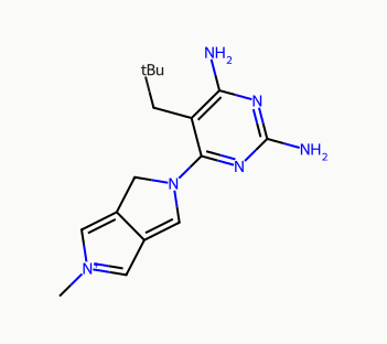 C[N+]1=CC2=CN(c3nc(N)nc(N)c3CC(C)(C)C)CC2=C1